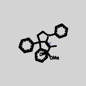 COC(=O)/C(C)=C1/P(c2ccccc2)CCC1(c1ccccc1)c1ccccc1